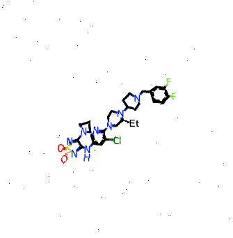 CC[C@H]1CN(c2ncc(NC3=NS(=O)(=O)N=C3N3CCC3)cc2Cl)CCN1C1CCN(Cc2ccc(F)c(F)c2)CC1